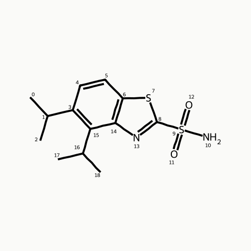 CC(C)c1ccc2sc(S(N)(=O)=O)nc2c1C(C)C